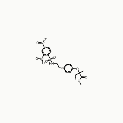 CCC(C)(Oc1ccc(CCNS(=O)(=O)c2ccc([N+](=O)[O-])cc2[N+](=O)[O-])cc1)C(=O)OC